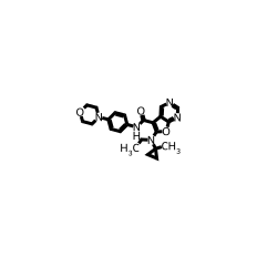 CCN(c1oc2ncncc2c1C(=O)Nc1ccc(N2CCOCC2)cc1)C1(C)CC1